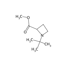 COC(=O)C1CCN1C(C)(C)C